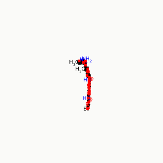 CCOCCOCCC(=O)NCCCOCCOCCOCCCNC(=O)c1ccc(COc2ccc(CCc3cnc4c(N)nc5cc(C)ccc5c4c3)c(C)c2)cc1